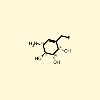 N[C@@H]1C=C(CF)[C@H](O)[C@H](O)[C@H]1O